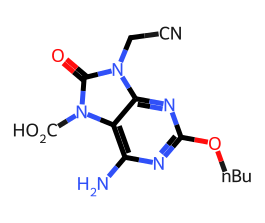 CCCCOc1nc(N)c2c(n1)n(CC#N)c(=O)n2C(=O)O